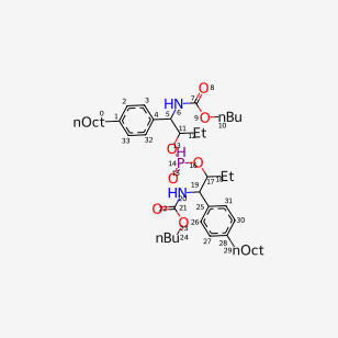 CCCCCCCCc1ccc(C(NC(=O)OCCCC)C(CC)O[PH](=O)OC(CC)C(NC(=O)OCCCC)c2ccc(CCCCCCCC)cc2)cc1